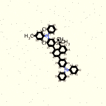 Cc1cc(C)c(N(c2ccccc2)c2ccc3c(c2)[Si](C)(C)c2cccc4c(-c5ccc(N(c6ccccc6)c6ccccc6)cc5)ccc-3c24)c(C)c1